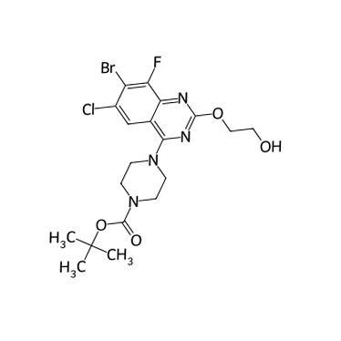 CC(C)(C)OC(=O)N1CCN(c2nc(OCCO)nc3c(F)c(Br)c(Cl)cc23)CC1